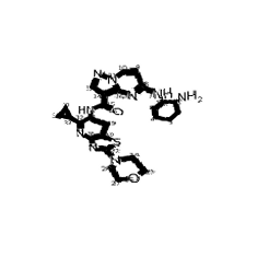 N[C@H]1CCCC[C@H]1Nc1ccn2ncc(C(=O)Nc3cc4sc(N5CCOCC5)nc4nc3C3CC3)c2n1